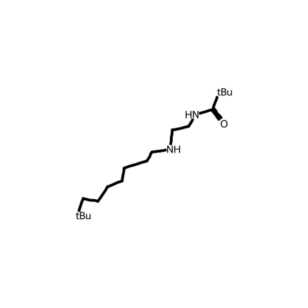 CC(C)(C)CCCCCCCNCCNC(=O)C(C)(C)C